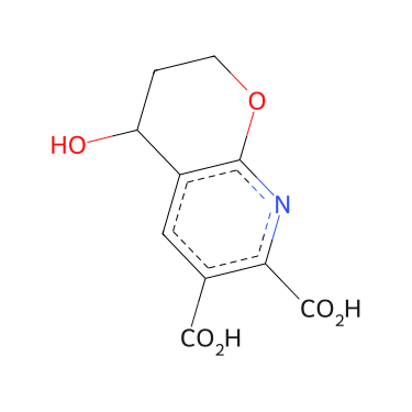 O=C(O)c1cc2c(nc1C(=O)O)OCCC2O